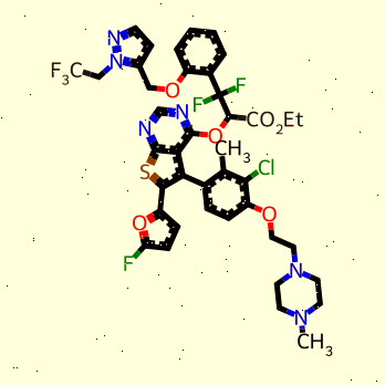 CCOC(=O)C(Oc1ncnc2sc(-c3ccc(F)o3)c(-c3ccc(OCCN4CCN(C)CC4)c(Cl)c3C)c12)C(F)(F)c1ccccc1OCc1ccnn1CC(F)(F)F